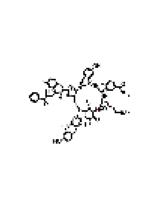 CNCCCC[C@@H]1NC(=O)[C@@H](Cc2ccc(C(N)=O)cc2)NC(=O)[C@H](Cc2ccc(O)cc2)NC(=O)[C@H](NC(=O)[C@H](Cc2ccc(Cl)cc2)NC(=O)CNC(=O)c2ccccc2)CSSC2[C@@H](C(=O)N[C@H](Cc3ccc(O)cc3)C(N)=O)NC(=O)[C@@H](NC1=O)[C@@]2(C)O